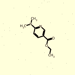 CCOC(=O)c1ccc(N(C)C)nc1